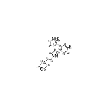 C=C/C=C(\C=C/N)c1cn(CCN2CCOCC2)nc1-c1ccc(F)cc1